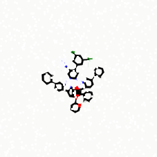 Cc1ccccc1-c1ccc2c(c1)c1ccc(-c3ccccc3C)cc1n2-c1cc(-c2cc(C(F)(F)F)cc(C(F)(F)F)c2)c(C#N)cc1-n1c2cc(-c3ccccc3C)ccc2c2ccc(-c3ccccc3C)cc21